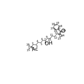 CC(=O)C1(CCCCCC(O)CCCCCC2(C(=O)c3ccccc3)CC2)CC1